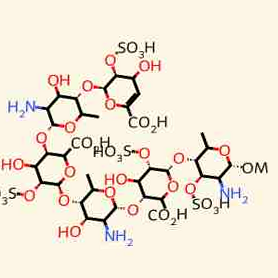 CO[C@H]1OC(C)[C@@H](O[C@@H]2OC(C(=O)O)[C@H](O[C@H]3OC(C)[C@@H](O[C@@H]4OC(C(=O)O)[C@H](O[C@H]5OC(C)[C@@H](O[C@@H]6OC(C(=O)O)=CC(O)[C@@H]6OS(=O)(=O)O)C(O)C5N)C(O)[C@@H]4OS(=O)(=O)O)[C@H](O)C3N)C(O)[C@@H]2OS(=O)(=O)O)[C@H](OS(=O)(=O)O)C1N